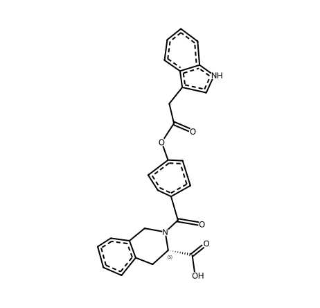 O=C(Cc1c[nH]c2ccccc12)Oc1ccc(C(=O)N2Cc3ccccc3C[C@H]2C(=O)O)cc1